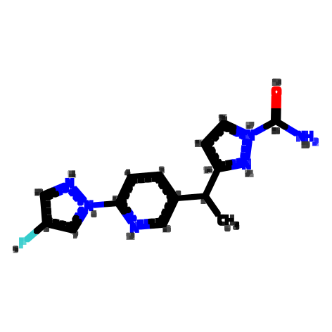 CC(c1ccc(-n2cc(F)cn2)nc1)c1ccn(C(N)=O)n1